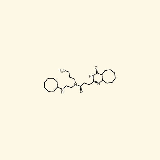 CCCCN(CCBC1CCCCCCC1)C(=O)CCC1=NC2CCCCCCC2C(=O)N1